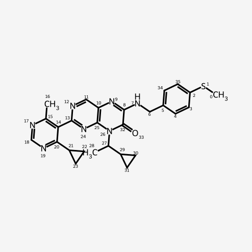 CSc1ccc(CNc2nc3cnc(-c4c(C)ncnc4C4CC4)nc3n(C(C)C3CC3)c2=O)cc1